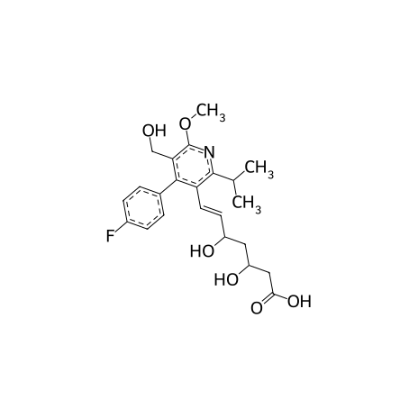 COc1nc(C(C)C)c(C=CC(O)CC(O)CC(=O)O)c(-c2ccc(F)cc2)c1CO